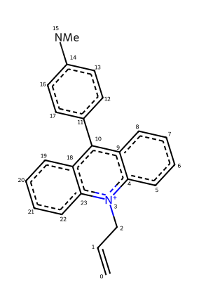 C=CC[n+]1c2ccccc2c(-c2ccc(NC)cc2)c2ccccc21